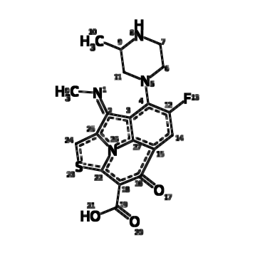 CN=c1c2c(N3CCNC(C)C3)c(F)cc3c(=O)c(C(=O)O)c4scc1n4c32